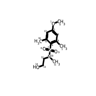 COc1cc(C)c(S(=O)(=O)N(C)CCO)c(C)c1